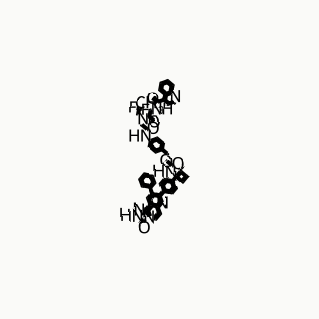 CC(F)(F)CN(CC(=O)Nc1ccc(COC(=O)NC2(c3ccc(-c4nc5ccn6c(=O)[nH]nc6c5cc4-c4ccccc4)cc3)CCC2)cc1)C(=O)CNC(=O)c1ccnc2ccccc12